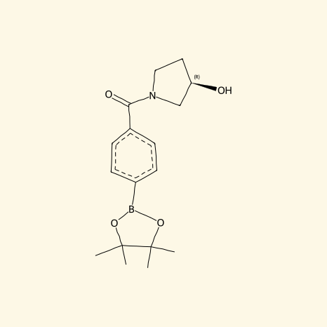 CC1(C)OB(c2ccc(C(=O)N3CC[C@@H](O)C3)cc2)OC1(C)C